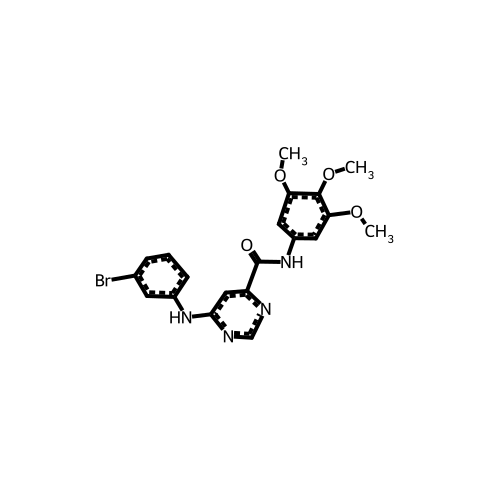 COc1cc(NC(=O)c2cc(Nc3cccc(Br)c3)ncn2)cc(OC)c1OC